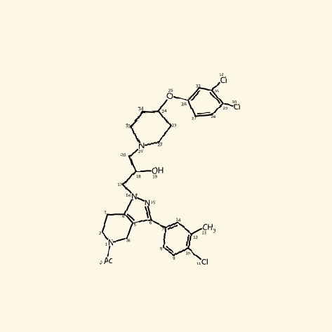 CC(=O)N1CCc2c(c(-c3ccc(Cl)c(C)c3)nn2CC(O)CN2CCC(Oc3ccc(Cl)c(Cl)c3)CC2)C1